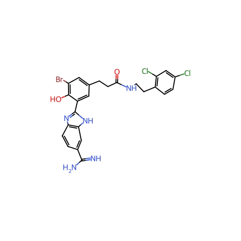 N=C(N)c1ccc2nc(-c3cc(CCC(=O)NCCc4ccc(Cl)cc4Cl)cc(Br)c3O)[nH]c2c1